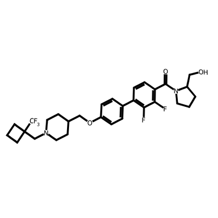 O=C(c1ccc(-c2ccc(OCC3CCN(CC4(C(F)(F)F)CCC4)CC3)cc2)c(F)c1F)N1CCCC1CO